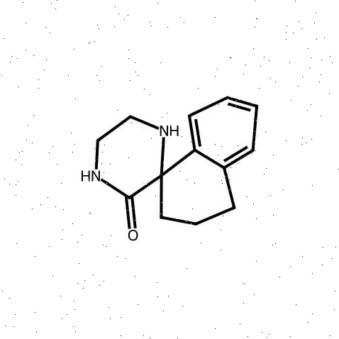 O=C1NCCNC12CCCc1ccccc12